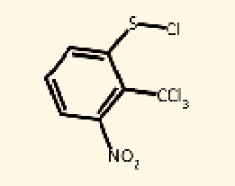 O=[N+]([O-])c1cccc(SCl)c1C(Cl)(Cl)Cl